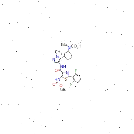 Cn1ncc(NC(=O)c2nc(-c3c(F)cccc3F)sc2NC(=O)OC(C)(C)C)c1C1CCCC(N(C(=O)O)C(C)(C)C)C1